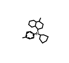 Cc1ccc(N(C2CCCCC2)C2CCC(C)C3CCCCC32)cc1